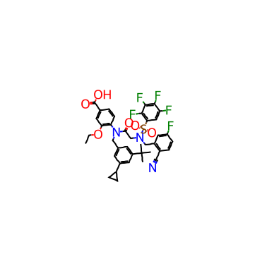 CCOc1cc(C(=O)O)ccc1N(Cc1cc(C2CC2)cc(C(C)(C)C)c1)C(=O)CN(Cc1cc(F)ccc1C#N)S(=O)(=O)c1cc(F)c(F)c(F)c1F